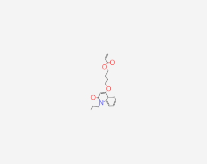 C=CC(=O)OCCCCOc1cc(=O)n(CCC)c2ccccc12